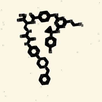 COC(=O)[C@H](CNC(=O)C(=O)Nc1ccc(N2CCN(Cc3ccccc3)CC2)cc1)NC(=O)c1ccc(Nc2nc(NC3(c4ccc(Cl)cc4)CC3)nc(OCC(F)(F)F)n2)cc1